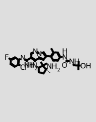 Cc1cc(NC(=O)NCC(C)(C)O)ccc1-c1cc2c(N[C@@H]3CC[C@](C)(N)C3(C)C)c(/C(N)=N/c3cc(F)ccc3Cl)cnn2c1